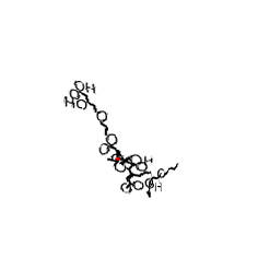 C=CPO[C@H](CC1C/C(=C\C(=O)OC)[C@H](OC(C)=O)[C@](O)(C(C)(C)/C=C/C(=O)OCCCOCC[C@@H](O)CC(=O)O)O1)[C@@H](C)OCCCC